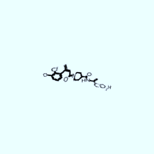 CC(=CC(=O)N1CCC(C(=O)N[C@@H](C)C(=O)O)CC1)c1cccc(Cl)c1Cl